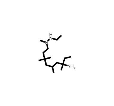 CCNN(C)CCC(C)(C)CC(C)CC(C)(N)CC